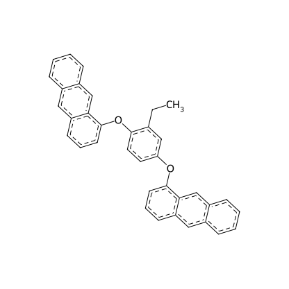 CCc1cc(Oc2cccc3cc4ccccc4cc23)ccc1Oc1cccc2cc3ccccc3cc12